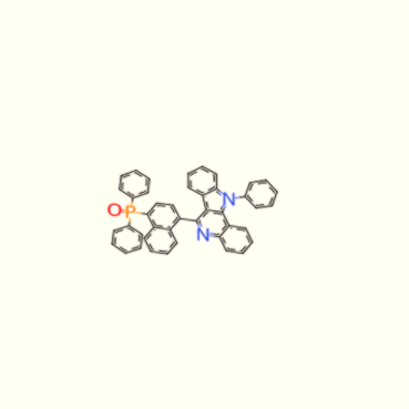 O=P(c1ccccc1)(c1ccccc1)c1ccc(-c2nc3ccccc3c3c2c2ccccc2n3-c2ccccc2)c2ccccc12